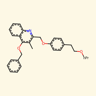 CCCOCCc1ccc(OCc2nc3ccccc3c(OCc3ccccc3)c2C)cc1